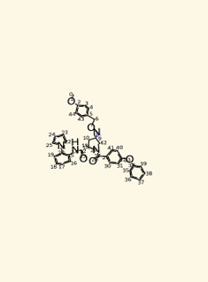 COc1ccc(CO/N=C2\C[C@@H](C(=O)Nc3ccccc3-n3cccc3)N(C(=O)c3ccc(Oc4ccccc4)cc3)C2)cc1